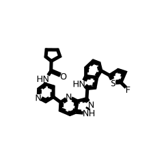 O=C(Nc1cncc(-c2ccc3[nH]nc(-c4cc5c(-c6ccc(F)s6)cccc5[nH]4)c3n2)c1)C1CCCC1